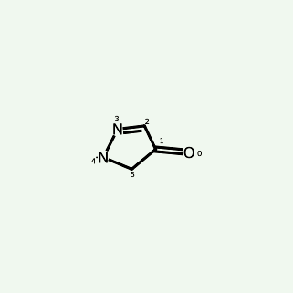 O=C1C=N[N]C1